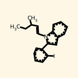 CCC(C)C=Cn1c(-c2ccccc2I)cc2ccccc21